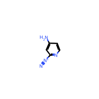 N#[N+]c1cc(N)ccn1